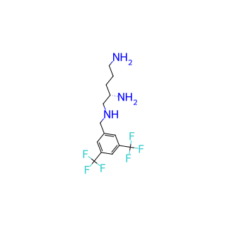 NCCC[C@H](N)CNCc1cc(C(F)(F)F)cc(C(F)(F)F)c1